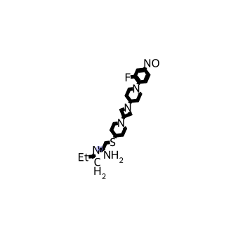 C=C(CC)/N=C(\N)CSC1CCN(C2CN(C3CCN(c4ccc(N=O)cc4F)CC3)C2)CC1